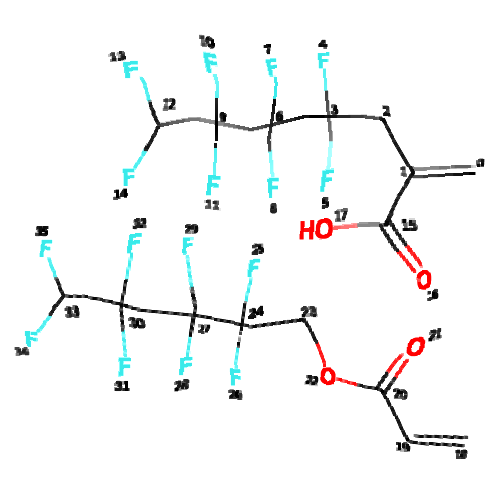 C=C(CC(F)(F)C(F)(F)C(F)(F)C(F)F)C(=O)O.C=CC(=O)OCC(F)(F)C(F)(F)C(F)(F)C(F)F